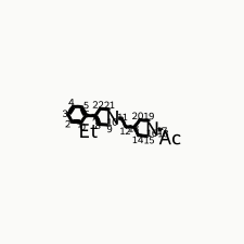 CCc1ccccc1C1=CCN(CCC2CCN(CC(C)=O)CC2)CC1